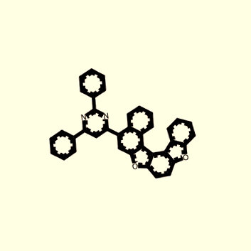 c1ccc(-c2cc(-c3cc4oc5ccc6oc7ccccc7c6c5c4c4ccccc34)nc(-c3ccccc3)n2)cc1